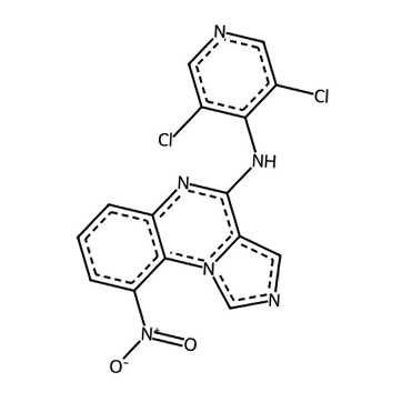 O=[N+]([O-])c1cccc2nc(Nc3c(Cl)cncc3Cl)c3cncn3c12